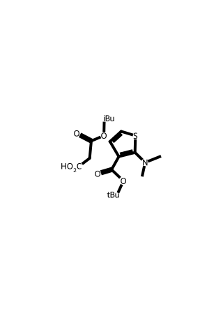 CCC(C)OC(=O)CC(=O)O.CN(C)c1sccc1C(=O)OC(C)(C)C